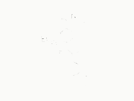 CCOc1cc(C(N)=O)ccc1/C(F)=C(C)/C=C/C1=C(C)CCCC1(C)C